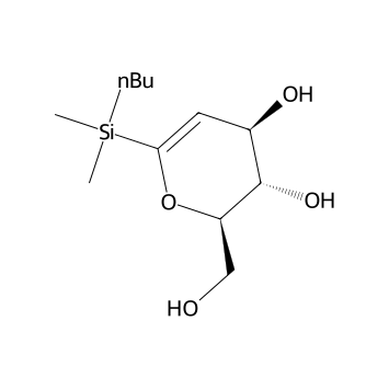 CCCC[Si](C)(C)C1=C[C@@H](O)[C@H](O)[C@@H](CO)O1